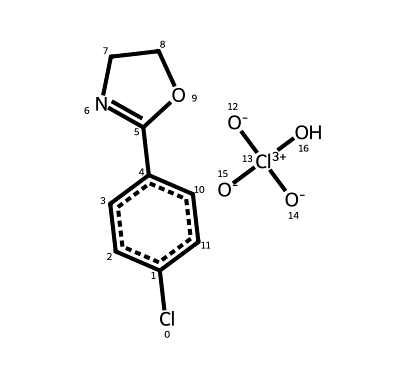 Clc1ccc(C2=NCCO2)cc1.[O-][Cl+3]([O-])([O-])O